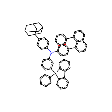 c1ccc(-c2cccc3cccc(-c4ccc(N(c5ccc(C67CC8CC(CC(C8)C6)C7)cc5)c5cccc([Si]6(c7ccccc7)c7ccccc7-c7ccccc76)c5)cc4)c23)cc1